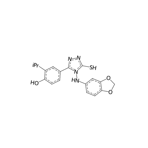 CC(C)c1cc(-c2nnc(S)n2Nc2ccc3c(c2)OCO3)ccc1O